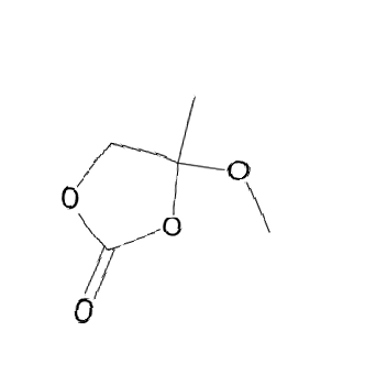 COC1(C)COC(=O)O1